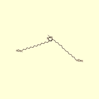 [CH2]c1nc(CCCCCCCCCCCCCCCCCCCCCCCC)cc(CCCCCCCCCCCCCCCCCCCCCCCC)n1